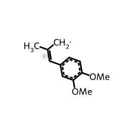 [CH2]/C(C)=C\c1ccc(OC)c(OC)c1